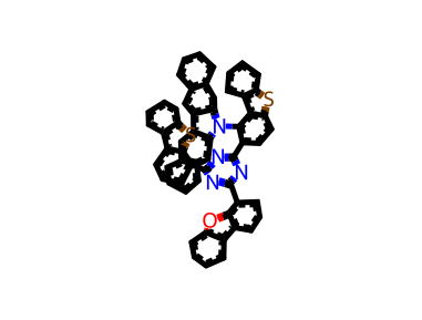 c1ccc2cc3c(cc2c1)c1cc2ccccc2cc1n3-c1c(-c2nc(-c3cccc4c3oc3ccccc34)nc(-c3cccc4c3sc3ccccc34)n2)ccc2sc3ccccc3c12